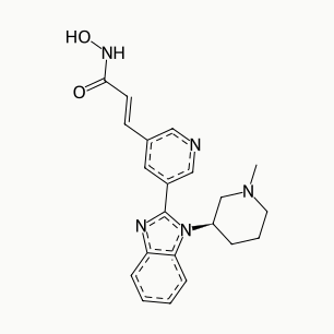 CN1CCC[C@@H](n2c(-c3cncc(C=CC(=O)NO)c3)nc3ccccc32)C1